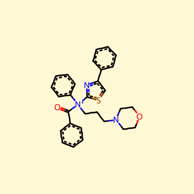 O=C(c1ccccc1)[N+](CCCN1CCOCC1)(c1ccccc1)c1nc(-c2ccccc2)cs1